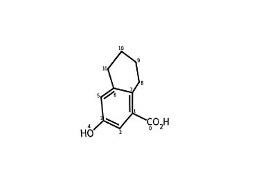 O=C(O)c1cc(O)cc2c1CCCC2